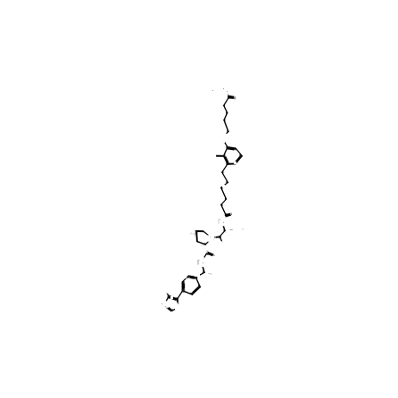 Cc1ncsc1-c1ccc([C@H](C)NC(=O)[C@@H]2C[C@@H](O)CN2C(O)[C@@H](NC(=O)CCCCCc2cccc(OCCCCC(N)=O)c2F)C(C)(C)C)cc1